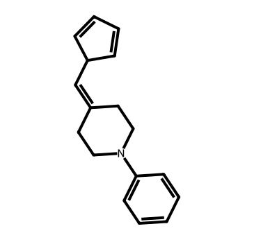 C1=CC(C=C2CCN(c3ccccc3)CC2)C=C1